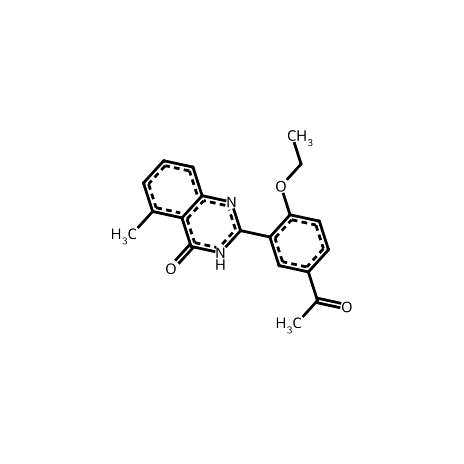 CCOc1ccc(C(C)=O)cc1-c1nc2cccc(C)c2c(=O)[nH]1